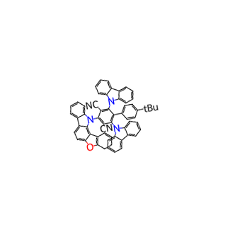 CC(C)(C)c1ccc(-c2c(-n3c4ccccc4c4ccccc43)c(C#N)c(-n3c4ccccc4c4ccc5oc6c(c5c43)C=CCC6)c(C#N)c2-n2c3ccccc3c3ccccc32)cc1